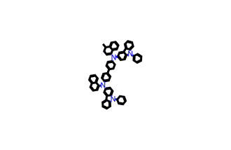 CC1CC=C(N(C2=CC=C(c3ccc(N(c4ccc5c(c4)c4ccccc4n5C4C=CC=CC4)c4cccc5ccccc45)cc3)CC2)c2ccc3c(c2)c2ccccc2n3-c2ccccc2)c2ccccc21